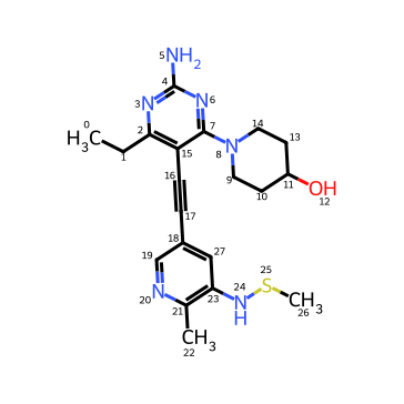 CCc1nc(N)nc(N2CCC(O)CC2)c1C#Cc1cnc(C)c(NSC)c1